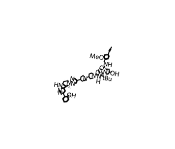 CC#Cc1ccc(CNC(=O)[C@@H]2C[C@@H](O)CN2C(=O)[C@@H](NC(=O)N2CCC(N3CCC(c4cnc(N5CCc6[nH]c7nnc(-c8ccccc8O)cc7c6[C@H]5C)nc4)CC3)CC2)C(C)(C)C)c(OC)c1